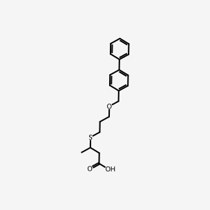 CC(CC(=O)O)SCCCOCc1ccc(-c2ccccc2)cc1